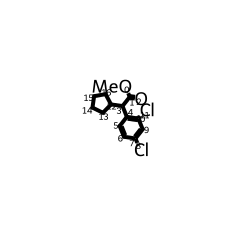 COC(=O)C(c1ccc(Cl)cc1Cl)C1CCCC1